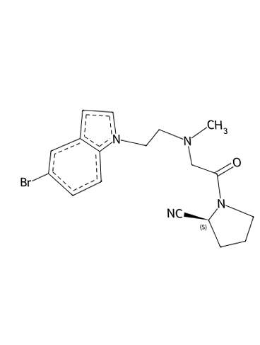 CN(CCn1ccc2cc(Br)ccc21)CC(=O)N1CCC[C@H]1C#N